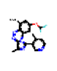 COc1cc(OC(F)F)cc2c1nnc1c(C)nc(-c3cnccc3C)n12